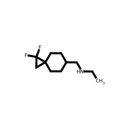 CCNCC1CCC2(CC1)CC2(F)F